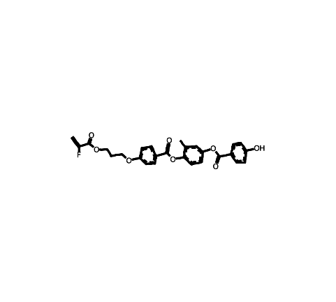 C=C(F)C(=O)OCCCOc1ccc(C(=O)Oc2ccc(OC(=O)c3ccc(O)cc3)cc2C)cc1